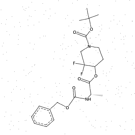 C[C@H](NC(=O)OCc1ccccc1)C(=O)OC1CCN(C(=O)OC(C)(C)C)CC1(F)F